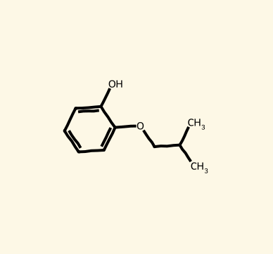 CC(C)COc1ccccc1O